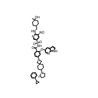 CC1(O)CCC(CNc2ncc(S(=O)(=O)NC(=O)c3ccc(N4CC5(CCC(N6CCC[C@@H]6c6ccccc6C6CC6)CC5)C4)cc3Oc3cnc4[nH]ccc4c3)cc2N=O)CC1